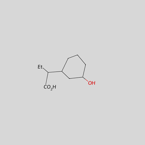 CCC(C(=O)O)C1CCCC(O)C1